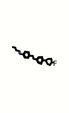 CCC/C=C/c1ccc(CCc2ccc(C3CCC(F)CC3)cc2)cc1